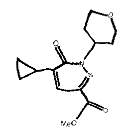 COC(=O)c1cc(C2CC2)c(=O)n(C2CCOCC2)n1